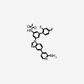 CS(=O)(=O)Nc1cc(-c2ccc(F)cc2F)cc(-n2cnc3cc(-c4ccnc(N)c4)ccc32)c1